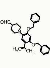 C=C(C)c1cc(N2CCC(C=O)CC2)c(OCc2ccccc2)cc1OCc1ccccc1